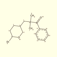 CCC1CCC(CC(C)(C)C(=O)c2ccccc2)CO1